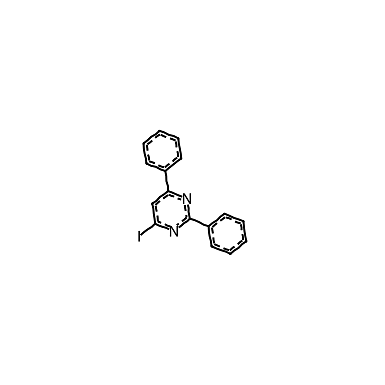 Ic1cc(-c2ccccc2)nc(-c2ccccc2)n1